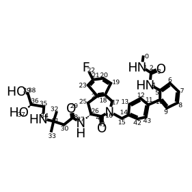 CNC(=O)Nc1ccccc1-c1ccc(CN2Cc3ccc(F)cc3C[C@@H](NC(=O)CC(C)(C)NC[C@H](O)CO)C2=O)cc1